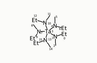 CC[N](C)[Ta]([N](C)CC)([N](C)CC)([N](C)CC)[N](C)CC